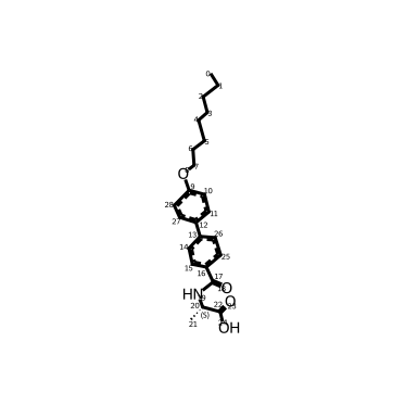 CCCCCCCCOc1ccc(-c2ccc(C(=O)N[C@@H](C)C(=O)O)cc2)cc1